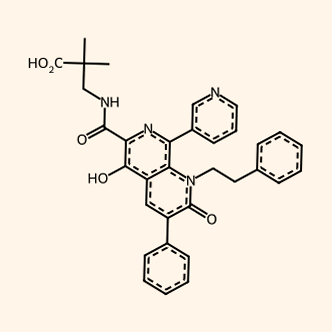 CC(C)(CNC(=O)c1nc(-c2cccnc2)c2c(cc(-c3ccccc3)c(=O)n2CCc2ccccc2)c1O)C(=O)O